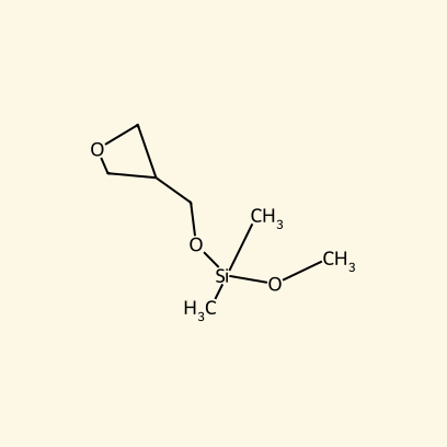 CO[Si](C)(C)OCC1COC1